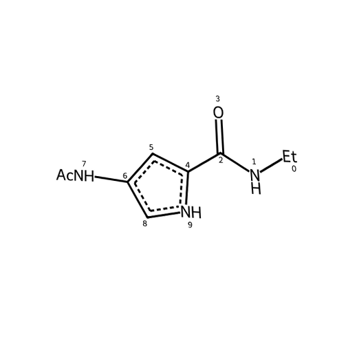 CCNC(=O)c1cc(NC(C)=O)c[nH]1